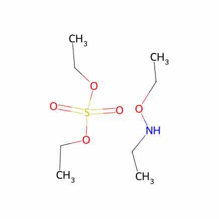 CCNOCC.CCOS(=O)(=O)OCC